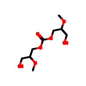 COC(CO)COC(=O)OCC(CO)OC